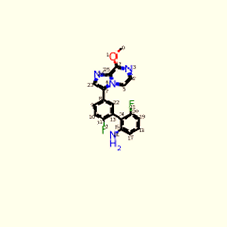 COc1nccn2c(-c3ccc(F)c(-c4c(N)cccc4F)c3)cnc12